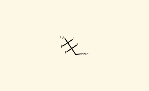 C[N]CC(F)(F)C(F)(F)C(F)(F)F